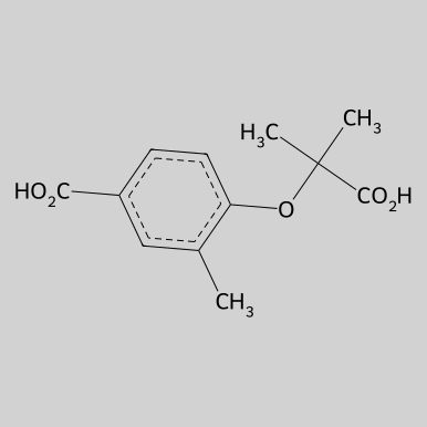 Cc1cc(C(=O)O)ccc1OC(C)(C)C(=O)O